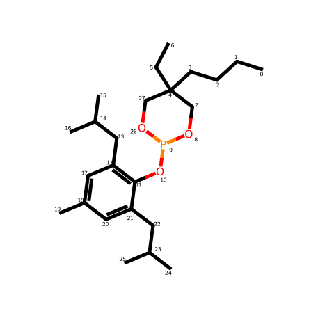 CCCCC1(CC)COP(Oc2c(CC(C)C)cc(C)cc2CC(C)C)OC1